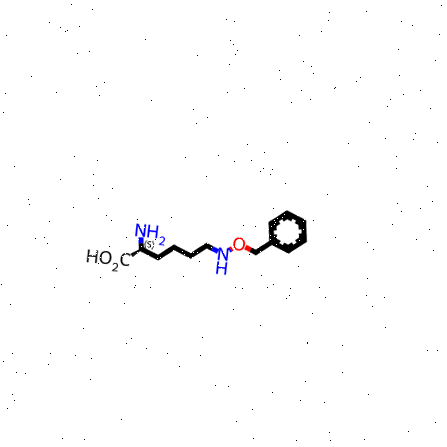 N[C@@H](CCCCNOCc1ccccc1)C(=O)O